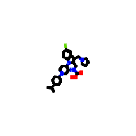 CC(C)[C@H]1CC[C@@H](N2CCC(n3c(CNC(=O)O)c(CN4CCCC4)c4cc(F)ccc43)CC2)CC1